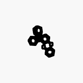 c1ccc2c(c1)Oc1ccc3c(c1O2)-c1ccccc1C31C2CC3CCC(C2)CC1C3